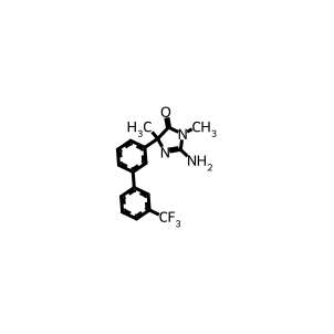 CN1C(=O)C(C)(c2cccc(-c3cccc(C(F)(F)F)c3)c2)N=C1N